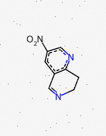 O=[N+]([O-])c1cnc2c(c1)C=NCC2